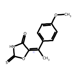 COc1ccc(/C(C)=C2/OC(=S)NC2=O)cc1